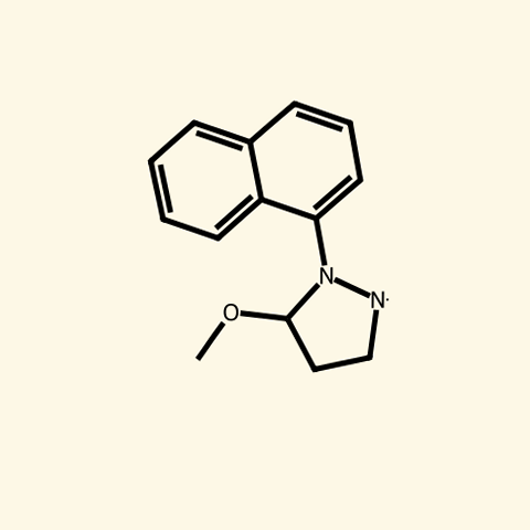 COC1CC[N]N1c1cccc2ccccc12